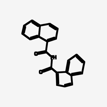 O=C(PC(=O)c1cccc2ccccc12)c1cccc2ccccc12